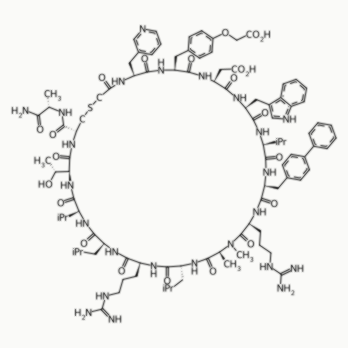 CC(C)C[C@@H]1NC(=O)[C@H](CCCNC(=N)N)NC(=O)[C@@H](CC(C)C)NC(=O)[C@H](C)N(C)C(=O)[C@H](CCCNC(=N)N)NC(=O)[C@H](Cc2ccc(-c3ccccc3)cc2)NC(=O)[C@H](C(C)C)NC(=O)[C@H](Cc2c[nH]c3ccccc23)NC(=O)[C@H](CC(=O)O)NC(=O)[C@H](Cc2ccc(OCC(=O)O)cc2)NC(=O)[C@H](Cc2cccnc2)NC(=O)CSC[C@@H](C(=O)N[C@@H](C)C(N)=O)NC(=O)[C@H]([C@@H](C)O)NC(=O)[C@H](C(C)C)NC1=O